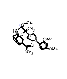 COc1ccc(N2CCN(C(C)(C)/C(=N\C#N)NC3C4CC5CC3CC(C(N)=O)(C5)C4)CC2)c(OC)c1